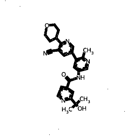 Cc1ncc(NC(=O)c2ccnc(C(C)(C)O)c2)cc1-c1cnc(C2CCOCC2)c(C#N)c1